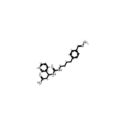 NN=Cc1ccc(CCCCNC(=O)NC(CC(=O)O)c2cccnc2)cc1